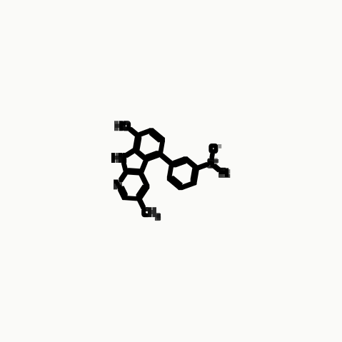 CC[S+]([O-])c1cccc(-c2ccc(O)c3[nH]c4ncc(C)cc4c23)c1